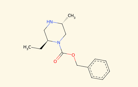 CC[C@H]1CN[C@H](C)CN1C(=O)OCc1ccccc1